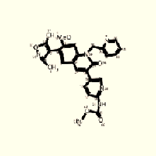 COc1cc2c(cc1-c1c(C)noc1C)cc(-c1ccc(NC(=O)OC(C)(C)C)nc1)c(=O)n2Cc1ccccn1